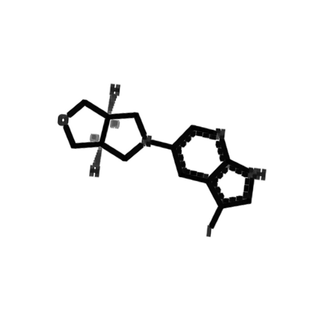 Ic1c[nH]c2ncc(N3C[C@H]4COC[C@H]4C3)cc12